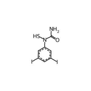 NC(=O)N(S)c1cc(I)cc(I)c1